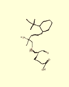 CC(N)(C=CC1CCCC1C(C)(C)C)CN[C@@H](C=O)CC(=O)O